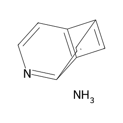 N.c1cc2c3cc-2ccc3n1